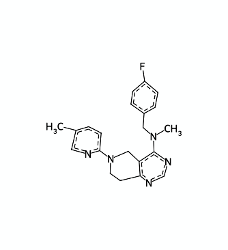 Cc1ccc(N2CCc3ncnc(N(C)Cc4ccc(F)cc4)c3C2)nc1